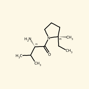 CC[C@]1(C)CCCN1C(=O)[C@@H](N)C(C)C